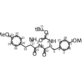 COc1ccc(C[C@H](NC(=O)OC(C)(C)C)C(=O)[N]C(=O)[C@@H](N)Cc2ccc(OC)cc2)cc1